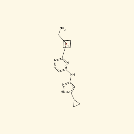 NCC12CC(C1)N(c1nccc(Nc3cc(C4CC4)[nH]n3)n1)C2